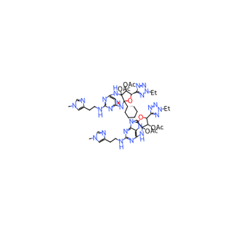 CCn1nnc(C2OC3([C@H]4CC[C@@H]([C@@]56O[C@H](c7nnn(CC)n7)C(OC(C)=O)C5(OC(C)=O)Nc5nc(NCCc7cn(C)cn7)nc7c5ncn76)CC4)n4cnc5c(nc(NCCc6cn(C)cn6)nc54)N[C@@]3(OC(C)=O)C2OC(C)=O)n1